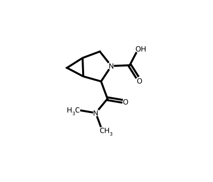 CN(C)C(=O)C1C2CC2CN1C(=O)O